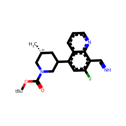 C[C@@H]1CC(c2cc(F)c(C=N)c3ncccc23)CN(C(=O)OC(C)(C)C)C1